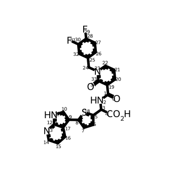 O=C(NC(C(=O)O)c1ccc(-c2c[nH]c3ncccc23)s1)c1cccn(Cc2ccc(F)c(F)c2)c1=O